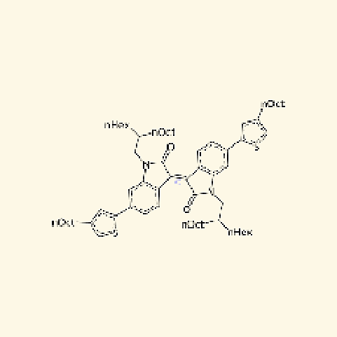 CCCCCCCCc1csc(-c2ccc3c(c2)N(CC(CCCCCC)CCCCCCCC)C(=O)/C3=C2/C(=O)N(CC(CCCCCC)CCCCCCCC)c3cc(-c4cc(CCCCCCCC)cs4)ccc32)c1